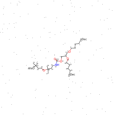 CCCCCCCCCCCCCCOCC(COC(=O)NCCC(C)(C)OCCC(C)(C)OC)OCCCCCCCCCCCCCC